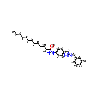 CCCCCCCCCCCCC(=O)Nc1ccc(CNCc2ccccc2)cc1